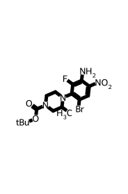 CC1CN(C(=O)OC(C)(C)C)CCN1c1c(Br)cc([N+](=O)[O-])c(N)c1F